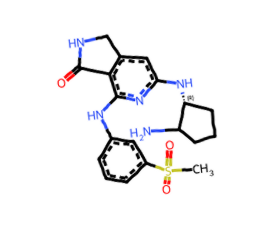 CS(=O)(=O)c1cccc(Nc2nc(N[C@@H]3CCCC3N)cc3c2C(=O)NC3)c1